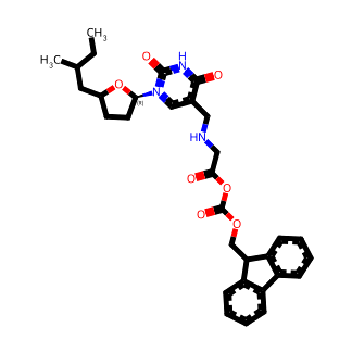 CCC(C)CC1CC[C@H](n2cc(CNCC(=O)OC(=O)OCC3c4ccccc4-c4ccccc43)c(=O)[nH]c2=O)O1